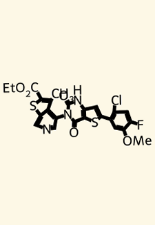 CCOC(=O)c1sc2cncc(-n3c(=O)[nH]c4cc(-c5cc(OC)c(F)cc5Cl)sc4c3=O)c2c1C